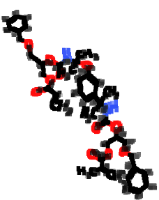 C=CC(=O)OCC(COCc1ccccc1)OC(=O)NC(C)(C)Oc1cccc(C(C)(C)NC(=O)OC(COCc2ccccc2)COC(=O)C(=C)C)c1